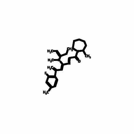 C=C(/C=C(/N=C/C(=O)N1CCCCCC1C)N(C)/C(=C\C)CC)c1ccc(C)cc1F